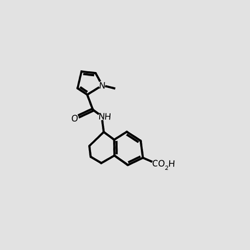 Cn1cccc1C(=O)NC1CCCc2cc(C(=O)O)ccc21